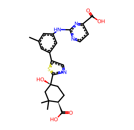 Cc1cc(Nc2nccc(C(=O)O)n2)cc(-c2cnc([C@]3(O)CC[C@@H](C(=O)O)C(C)(C)C3)s2)c1